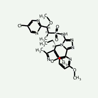 CC[C@@H](c1c(C)noc1C)n1c(NS(=O)(=O)[C@@H](C)[C@H](OC)c2ncc(Cl)cn2)nnc1-c1cccc(OC)n1